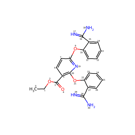 CCOC(=O)c1ccc(Oc2ccccc2C(=N)N)nc1Oc1ccccc1C(=N)N